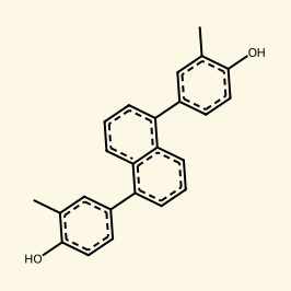 Cc1cc(-c2cccc3c(-c4ccc(O)c(C)c4)cccc23)ccc1O